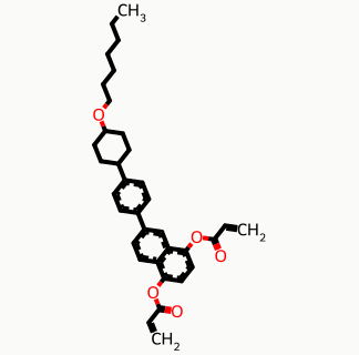 C=CC(=O)Oc1ccc(OC(=O)C=C)c2cc(-c3ccc(C4CCC(OCCCCCCC)CC4)cc3)ccc12